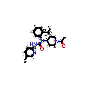 CC(=O)N1CCC(N(C(=O)Nc2ccc(C)cn2)c2ccccc2C(C)C)CC1